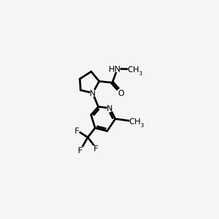 CNC(=O)C1CCCN1c1cc(C(F)(F)F)cc(C)n1